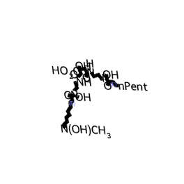 CCCCC/C=C/C(=O)N(O)CCCNC(=O)CC(O)(CC(=O)NCCCN(O)C(=O)/C=C/CCCCCCN(C)O)C(=O)O